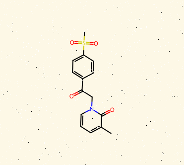 Cc1cccn(CC(=O)c2ccc(S(C)(=O)=O)cc2)c1=O